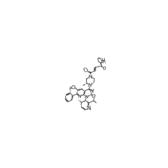 Cc1ccnc(C(C)C)c1-n1c(=O)nc(N2CCN(C(=O)/C=C/C(=O)O)C[C@@H]2C)c2cc(Cl)c(-c3ccccc3F)nc21